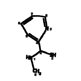 CNC(S)c1ccccn1